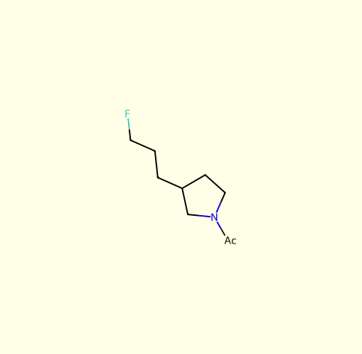 CC(=O)N1CCC(CCCF)C1